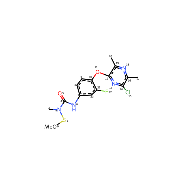 COSN(C)C(=O)Nc1ccc(Oc2nc(Cl)c(C)nc2C)c(F)c1